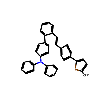 O=Cc1ccc(-c2ccc(C=Cc3ccccc3-c3ccc(N(c4ccccc4)c4ccccc4)cc3)cc2)s1